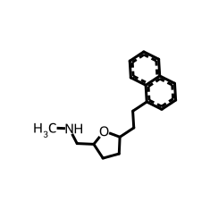 CNCC1CCC(CCc2cccc3ccccc23)O1